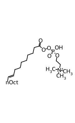 CCCCCCCCC=CCCCCCCCC(=O)OOP(=O)(O)OCC[N+](C)(C)C